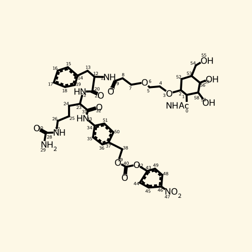 CC(=O)NC1C(OCCOCCC(=O)NC(Cc2ccccc2)C(=O)NC(CCCNC(N)=O)C(=O)Nc2ccc(COC(=O)Oc3ccc([N+](=O)[O-])cc3)cc2)CC(CO)C(O)C1O